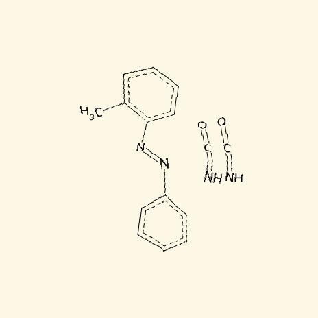 Cc1ccccc1N=Nc1ccccc1.N=C=O.N=C=O